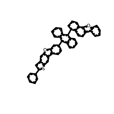 c1ccc(-c2cc3cc4oc5cc(-c6c7ccccc7c(-c7cccc8c7ccc7c9ccccc9oc87)c7ccccc67)ccc5c4cc3s2)cc1